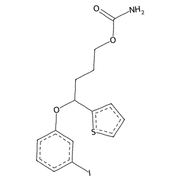 NC(=O)OCCCC(Oc1cccc(I)c1)c1cccs1